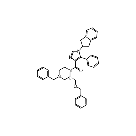 O=C(c1ncn(C2Cc3ccccc3C2)c1-c1ccccc1)N1CCN(Cc2ccccc2)C[C@H]1COCc1ccccc1